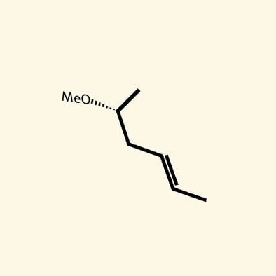 C/C=C/C[C@@H](C)OC